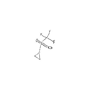 O=S(=O)([C]1CC1)C(F)(F)F